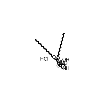 CCCCCCCCCCCCCCOCC(CNC(=O)C1(NC(=O)O)CCNCC1)OCCCCCCCCCCCCCC.Cl